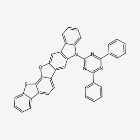 c1ccc(-c2nc(-c3ccccc3)nc(-n3c4ccccc4c4cc5oc6c(ccc7c8ccccc8sc76)c5cc43)n2)cc1